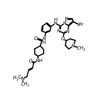 CC(C)c1cnn2c(Nc3cccc(NC(=O)C4CCC(NC(=O)C=CCN(C)C)CC4)c3)nc(OC3CCN(C)CC3)nc12